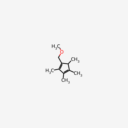 COCC1=C(C)C(C)=C(C)C1C